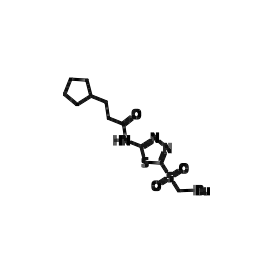 CCC(C)CS(=O)(=O)c1nnc(NC(=O)CCC2CCCC2)s1